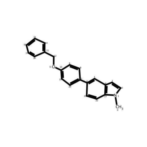 Cn1ccc2cc(-c3ccc(OCc4ccccc4)cc3)ccc21